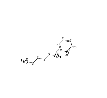 OCCCCNc1ccccn1